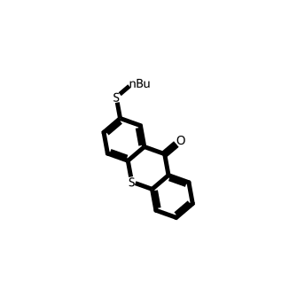 CCCCSc1ccc2sc3ccccc3c(=O)c2c1